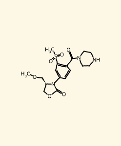 COC[C@@H]1COC(=O)N1c1ccc(C(=O)N2CCNCC2)c(S(C)(=O)=O)c1